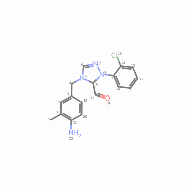 Cc1cc(CN2C=NN(c3ccccc3Cl)C2C=O)ccc1N